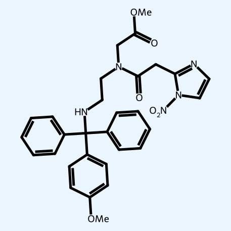 COC(=O)CN(CCNC(c1ccccc1)(c1ccccc1)c1ccc(OC)cc1)C(=O)Cc1nccn1[N+](=O)[O-]